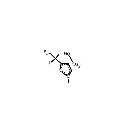 Cn1ccc(C(F)(F)C(F)(F)F)n1.O=C(O)O